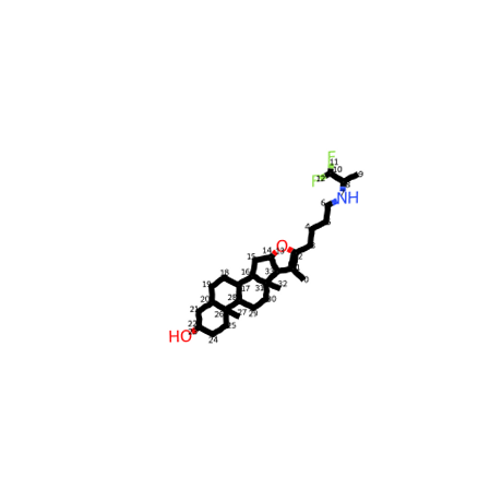 CC1=C(CCCCNC(C)C(F)F)OC2CC3C4CCC5CC(O)CCC5(C)C4CCC3(C)C12